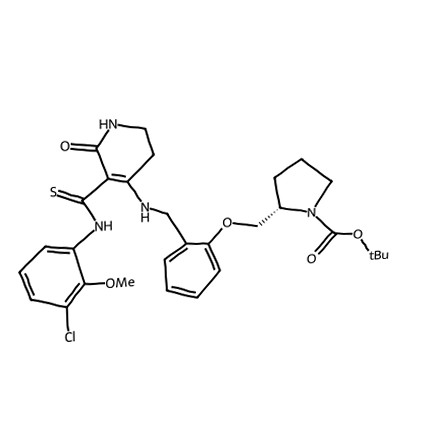 COc1c(Cl)cccc1NC(=S)C1=C(NCc2ccccc2OC[C@@H]2CCCN2C(=O)OC(C)(C)C)CCNC1=O